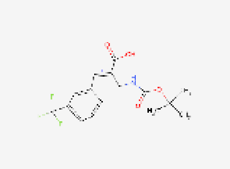 CC(C)(C)OC(=O)NC/C(=C\c1cccc(C(F)(F)F)c1)C(=O)O